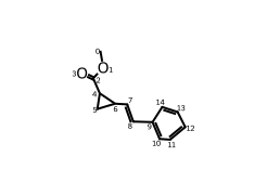 COC(=O)C1CC1C=Cc1ccccc1